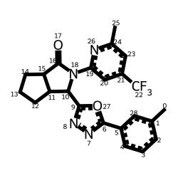 Cc1cccc(-c2nnc(C3C4CCCC4C(=O)N3c3cc(C(F)(F)F)cc(C)n3)o2)c1